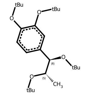 C[C@H](OC(C)(C)C)[C@H](OC(C)(C)C)c1ccc(OC(C)(C)C)c(OC(C)(C)C)c1